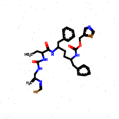 C=C(CNC(=O)NC(CC(=O)O)C(=O)NC(CCC(Cc1ccccc1)NC(=O)OCc1cncs1)Cc1ccccc1)/N=C\S